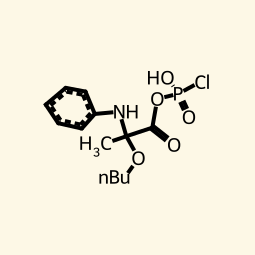 CCCCOC(C)(Nc1ccccc1)C(=O)OP(=O)(O)Cl